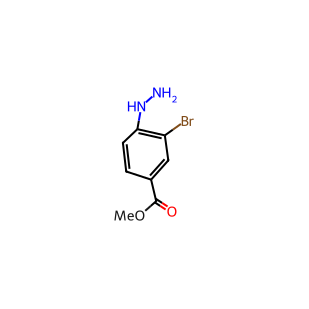 COC(=O)c1ccc(NN)c(Br)c1